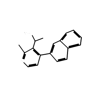 COC(C)c1c(-c2ccc3ccccc3c2)ccnc1Cl